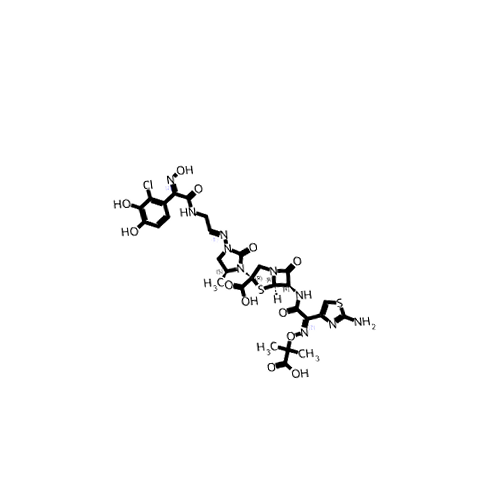 C[C@H]1CN(/N=C/CNC(=O)/C(=N\O)c2ccc(O)c(O)c2Cl)C(=O)N1[C@]1(C(=O)O)CN2C(=O)[C@@H](NC(=O)/C(=N\OC(C)(C)C(=O)O)c3csc(N)n3)[C@H]2S1